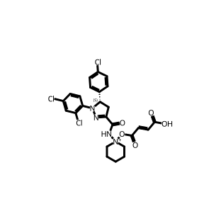 O=C(O)C=CC(=O)O[N+]1(NC(=O)C2=NN(c3ccc(Cl)cc3Cl)[C@H](c3ccc(Cl)cc3)C2)CCCCC1